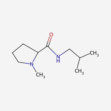 CC(C)CNC(=O)C1CCCN1C